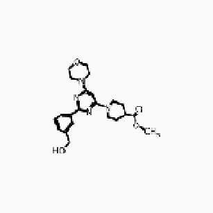 COC(=O)C1CCN(c2cc(N3CCOCC3)nc(-c3cccc(CO)c3)n2)CC1